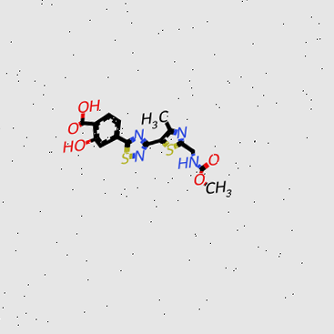 COC(=O)NCc1nc(C)c(-c2nsc(-c3ccc(C(=O)O)c(O)c3)n2)s1